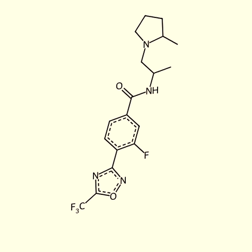 CC(CN1CCCC1C)NC(=O)c1ccc(-c2noc(C(F)(F)F)n2)c(F)c1